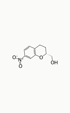 O=[N+]([O-])c1ccc2c(c1)O[C@@H](CO)CC2